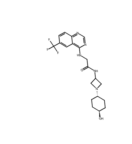 O=C(CNc1ncnc2ccc(C(F)(F)F)cc12)NC1CN([C@H]2CC[C@H](O)CC2)C1